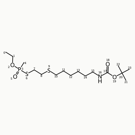 CCOP(C)(=O)SCCSCCCCCCNC(=O)OC(C)(C)C